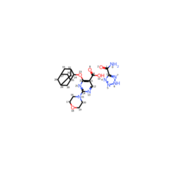 NC(=O)c1nn[nH]n1.O=C(O)c1cnc(N2CCOCC2)nc1OC1C2CC3CC(C2)CC1C3